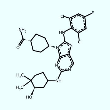 CC1(C)CCC(Nc2ncc3nc(Nc4c(Cl)cc(F)cc4Cl)n([C@H]4CC[C@@H](C(N)=O)CC4)c3n2)C[C@H]1O